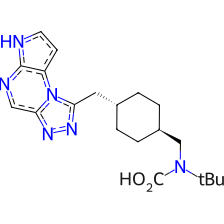 CC(C)(C)N(C[C@H]1CC[C@H](Cc2nnc3cnc4[nH]ccc4n23)CC1)C(=O)O